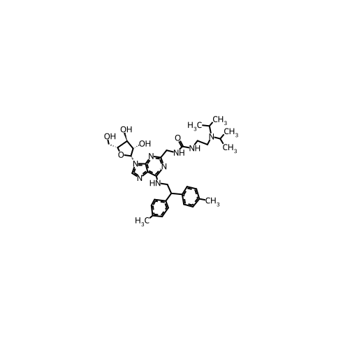 Cc1ccc(C(CNc2nc(CNC(=O)NCCN(C(C)C)C(C)C)nc3c2ncn3[C@@H]2O[C@H](CO)[C@@H](O)[C@@H]2O)c2ccc(C)cc2)cc1